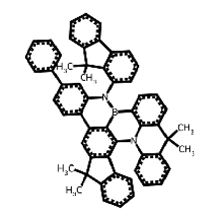 CC1(C)c2ccccc2-c2c1cc1c3c2N2c4ccccc4C(C)(C)c4cccc(c42)B3N(c2cccc3c2C(C)(C)c2ccccc2-3)c2cc(-c3ccccc3)ccc2-1